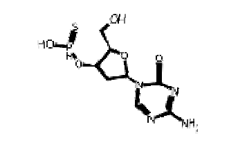 Nc1ncn([C@H]2C[C@@H](O[PH](O)=S)[C@@H](CO)O2)c(=O)n1